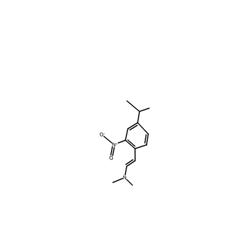 CC(C)c1ccc(/C=C/N(C)C)c([N+](=O)[O-])c1